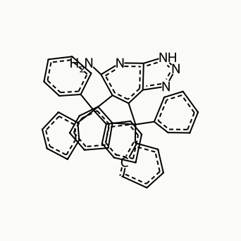 Nc1nc2[nH]nnc2c(C(c2ccccc2)(c2ccccc2)c2ccccc2)c1C(c1ccccc1)(c1ccccc1)c1ccccc1